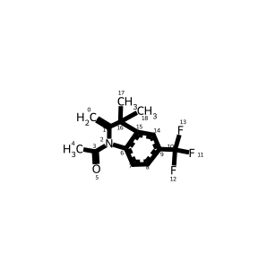 C=C1N(C(C)=O)c2ccc(C(F)(F)F)cc2C1(C)C